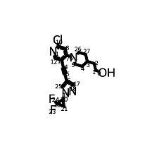 OCCC1CCN(c2cc(Cl)ncc2C#Cc2cnn(C3CC3(F)F)c2)CC1